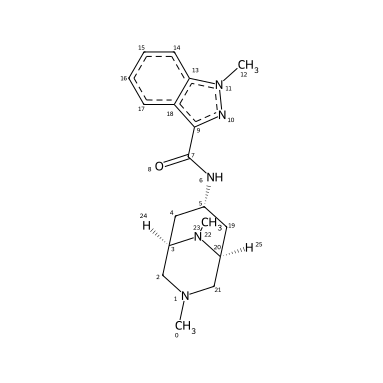 CN1C[C@H]2C[C@H](NC(=O)c3nn(C)c4ccccc34)C[C@@H](C1)N2C